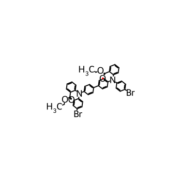 CCOC(=O)c1ccccc1N(c1ccc(Br)cc1)c1ccc(-c2ccc(N(c3ccc(Br)cc3)c3ccccc3C(=O)OCC)cc2)cc1